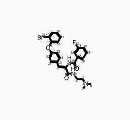 CN(C)CCNC(=O)/C(=C/c1ccc(Oc2ccccc2Br)cc1)NC(=O)c1cccc(F)c1